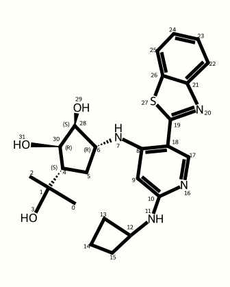 CC(C)(O)[C@H]1C[C@@H](Nc2cc(NC3CCC3)ncc2-c2nc3ccccc3s2)[C@H](O)[C@@H]1O